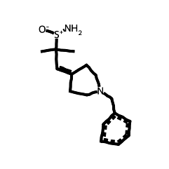 CC(C)(C=C1CCN(Cc2ccccc2)CC1)[S+](N)[O-]